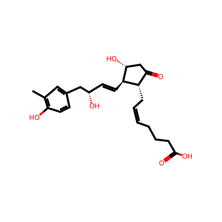 Cc1cc(C[C@@H](O)/C=C/[C@H]2[C@H](O)CC(=O)[C@@H]2C/C=C\CCCC(=O)O)ccc1O